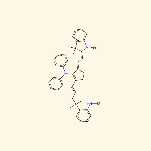 CCNc1ccccc1C(C)(C)C/C=C/C1=C(N(c2ccccc2)c2ccccc2)C(=C/C=C2/N(CC)c3ccccc3C2(C)C)/CC1